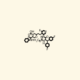 COC(=O)N[C@H](C(=O)Nc1cncc(F)c1CCC1CN(C(=O)O)C(c2nc3ccccc3[nH]2)CO1)C(c1ccc(F)cc1)c1ccc(F)cc1